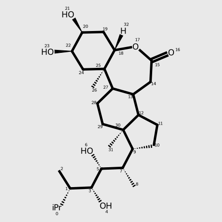 CC(C)[C@H](C)[C@@H](O)[C@H](O)[C@@H](C)[C@H]1CCC2C3CC(=O)O[C@H]4C[C@H](O)[C@H](O)C[C@]4(C)C3CC[C@@]21C